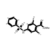 COC(=O)c1c(F)cc(NS(=O)(=O)c2ccccc2)cc1F